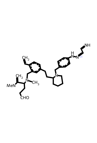 C=Cc1ccc(CCC2CCCCN2Cc2ccc(N/N=C\C=N)cc2)cc1CN(C)C(CCC=O)C(=C)NC